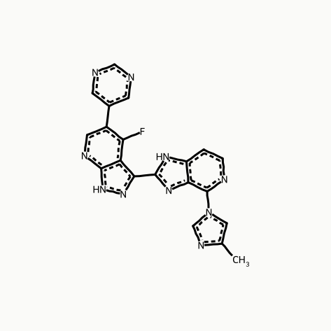 Cc1cn(-c2nccc3[nH]c(-c4n[nH]c5ncc(-c6cncnc6)c(F)c45)nc23)cn1